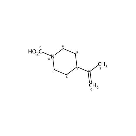 C=C(C)C1CCN(C(=O)O)CC1